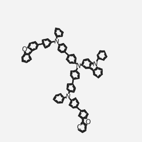 c1ccc(N(c2ccc(-c3ccc(N(c4ccc(-c5ccc(N(c6ccccc6)c6ccc(-c7ccc8oc9ccccc9c8c7)cc6)cc5)cc4)c4ccc5c(c4)c4ccccc4n5-c4ccccc4)cc3)cc2)c2ccc(-c3ccc4oc5ccccc5c4c3)cc2)cc1